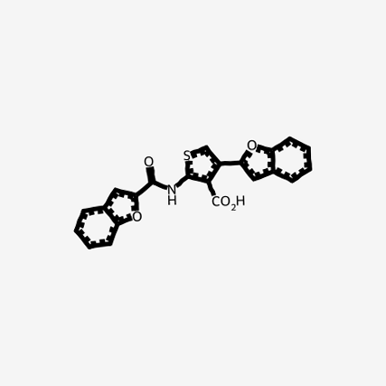 O=C(Nc1scc(-c2cc3ccccc3o2)c1C(=O)O)c1cc2ccccc2o1